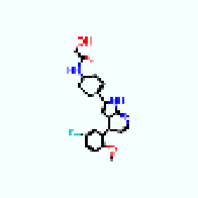 COc1ccc(F)cc1-c1ccnc2[nH]c(C3=CCC(NC(=O)CO)CC3)cc12